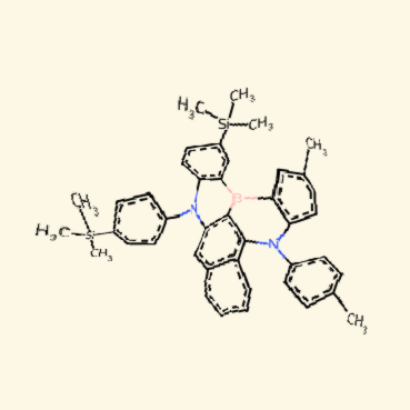 Cc1ccc(N2c3ccc(C)cc3B3c4cc([Si](C)(C)C)ccc4N(c4ccc([Si](C)(C)C)cc4)c4cc5ccccc5c2c43)cc1